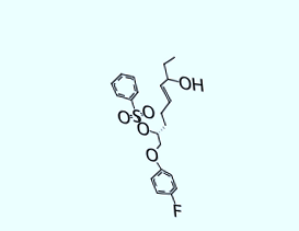 CCC(O)/C=C/CC[C@H](COc1ccc(F)cc1)OS(=O)(=O)c1ccccc1